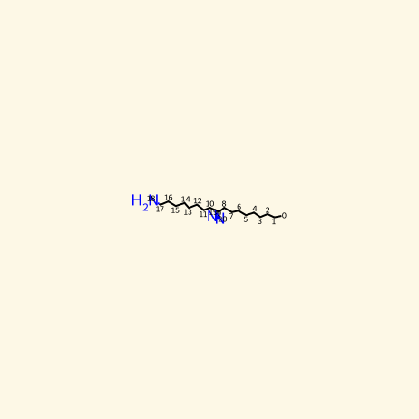 CCCCCCCCCCCCCCCCCCN.N#N